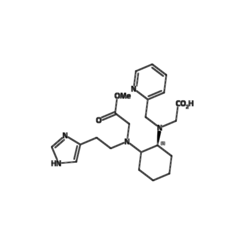 COC(=O)CN(CCc1c[nH]cn1)C1CCCC[C@@H]1N(CC(=O)O)Cc1ccccn1